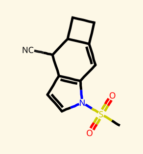 CS(=O)(=O)n1ccc2c1C=C1CCC1C2C#N